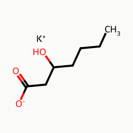 CCCCC(O)CC(=O)[O-].[K+]